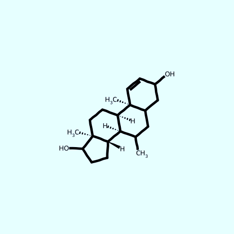 CC1CC2CC(O)C=C[C@]2(C)[C@@H]2CC[C@]3(C)C(O)CC[C@H]3[C@H]12